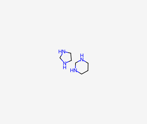 C1CNCN1.C1CNCNC1